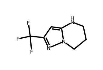 FC(F)(F)c1cc2n(n1)CCCN2